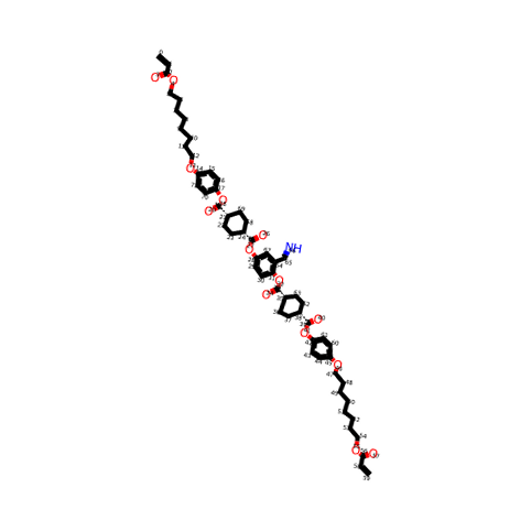 C=CC(=O)OCCCCCCCCOc1ccc(OC(=O)[C@H]2CC[C@@H](C(=O)Oc3ccc(OC(=O)[C@H]4CC[C@@H](C(=O)Oc5ccc(OCCCCCCCCOC(=O)C=C)cc5)CC4)c(C=N)c3)CC2)cc1